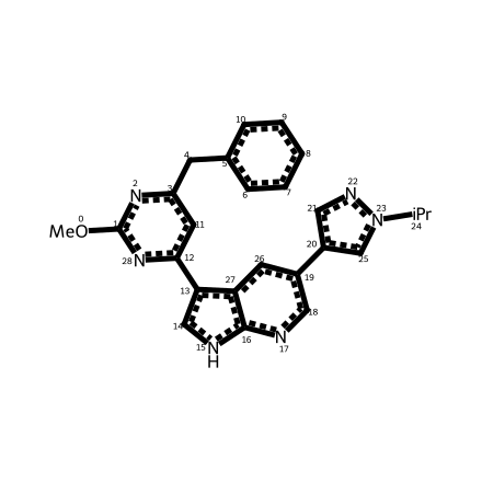 COc1nc(Cc2ccccc2)cc(-c2c[nH]c3ncc(-c4cnn(C(C)C)c4)cc23)n1